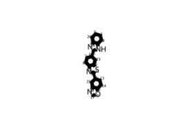 c1ccc2[nH]c(-c3ccc4nc(-c5ccc6ocnc6c5)sc4c3)nc2c1